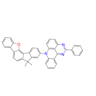 CC1(C)c2cc(N3c4ccccc4-c4nc(-c5ccccc5)nc5cccc3c45)ccc2-c2c1ccc1c2oc2ccccc21